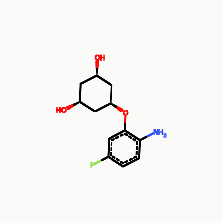 Nc1ccc(F)cc1O[C@@H]1C[C@H](O)C[C@H](O)C1